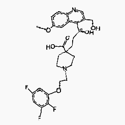 COc1ccc2ncc(CO)c([C@@H](O)CCC3(C(=O)O)CCN(CCOc4cc(F)cc(F)c4F)CC3)c2c1